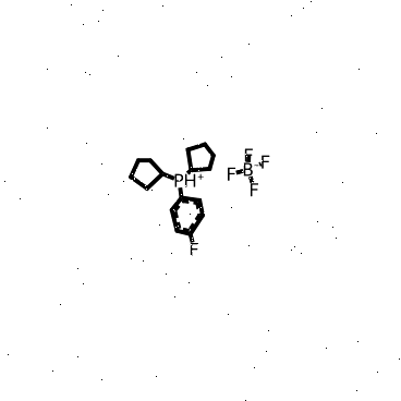 F[B-](F)(F)F.Fc1ccc([PH+](C2CCCC2)C2CCCC2)cc1